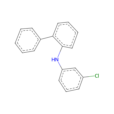 Clc1cccc(Nc2ccccc2-c2ccccc2)c1